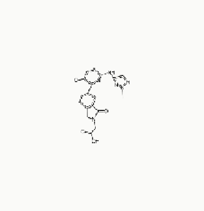 Cn1ncc(Nc2ncc(Cl)c(-c3ccc4c(c3)C(=O)N(CC(=O)O)C4)n2)n1